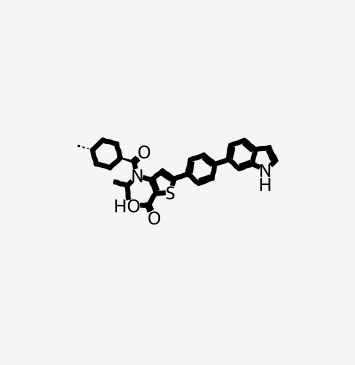 CC(C)N(c1cc(-c2ccc(-c3ccc4cc[nH]c4c3)cc2)sc1C(=O)O)C(=O)[C@H]1CC[C@H](C)CC1